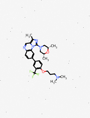 Cc1nc(N2C[C@@H](C)O[C@@H](C)C2)n2c1cnc1ccc(-c3ccc(OCCCN(C)C)c(C(F)(F)F)c3)cc12